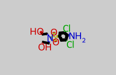 Nc1c(Cl)cc(S(=O)(=O)N(CCO)CCO)cc1Cl